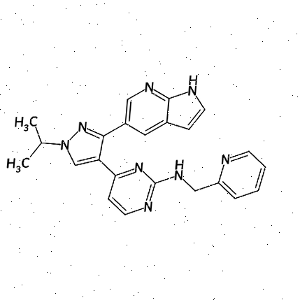 CC(C)n1cc(-c2ccnc(NCc3ccccn3)n2)c(-c2cnc3[nH]ccc3c2)n1